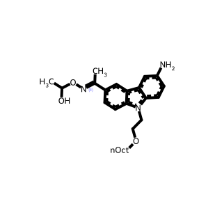 CCCCCCCCOCCn1c2ccc(N)cc2c2cc(/C(C)=N/OC(C)O)ccc21